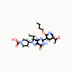 CCCCOc1ncc(C(C)=O)cc1-c1nc2c(CC)n(C3CCN(C(=O)O)CC3)nc2c(=O)[nH]1